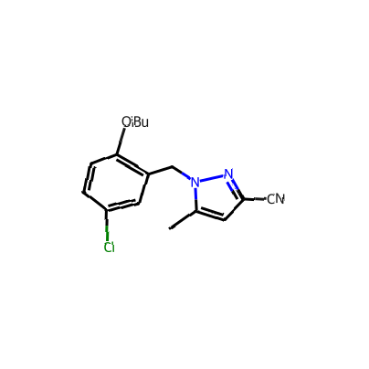 Cc1cc(C#N)nn1Cc1cc(Cl)ccc1OCC(C)C